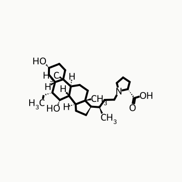 CC[C@H]1[C@@H](O)[C@@H]2[C@H](CC[C@]3(C)[C@@H]([C@H](C)CCN4CCC[C@@H]4C(=O)O)CC[C@@H]23)[C@@]2(C)CC[C@@H](O)C[C@@H]12